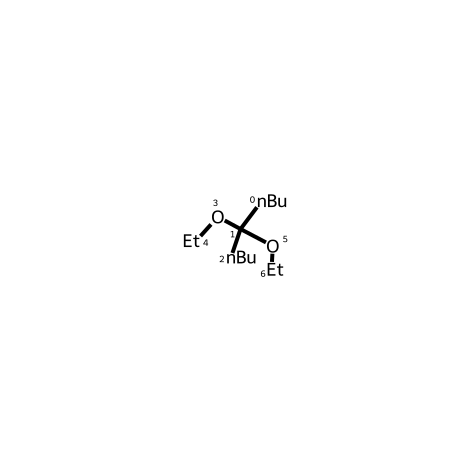 CCCCC(CCCC)(OCC)OCC